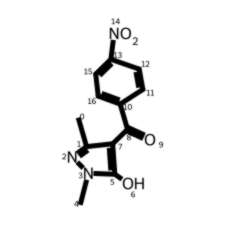 Cc1nn(C)c(O)c1C(=O)c1ccc([N+](=O)[O-])cc1